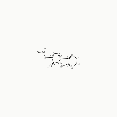 CN(C)CC1=CC=C2C(=Nc3ccccc32)C1=O